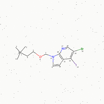 C[Si](C)(C)CCOCn1ccc2c(I)c(Br)cnc21